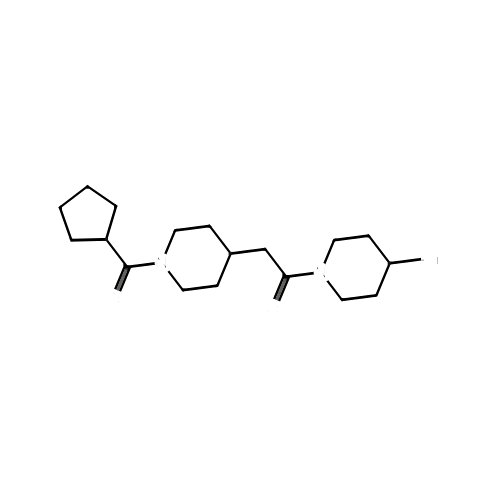 CC(C)C1CCN(C(=O)CC2CCN(C(=O)C3CCCC3)CC2)CC1